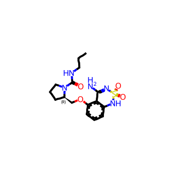 CCCNC(=O)N1CCC[C@@H]1COc1cccc2c1C(N)=NS(=O)(=O)N2